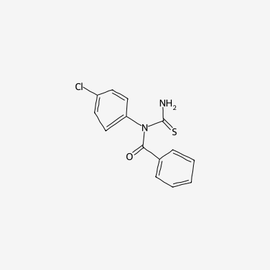 NC(=S)N(C(=O)c1ccccc1)c1ccc(Cl)cc1